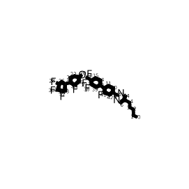 CCCCCc1cnc(-c2ccc(-c3ccc(C(F)(F)Oc4ccc(-c5cc(F)c(F)c(F)c5)c(F)c4)c(F)c3)c(F)c2)nc1